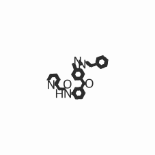 O=C(Cc1ccccn1)Nc1cccc(C(=O)c2ccc3cnn(C=Cc4ccccc4)c3c2)c1